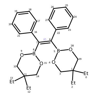 CCC1(CC)COB(/C(=C(\B2OCC(CC)(CC)CO2)c2ccccc2)c2ccccc2)OC1